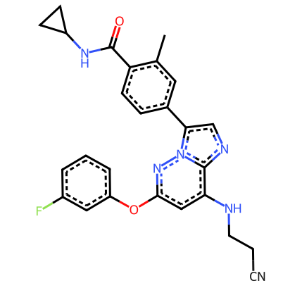 Cc1cc(-c2cnc3c(NCCC#N)cc(Oc4cccc(F)c4)nn23)ccc1C(=O)NC1CC1